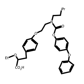 CCOC(Cc1ccc(OCCN(CCC(C)C)C(=O)Oc2ccc(Oc3ccccc3)cc2)cc1)C(=O)O